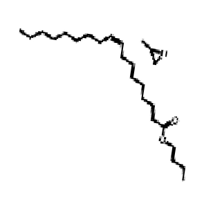 CC1CO1.CCCCCCCC/C=C\CCCCCCCC(=O)OCCCC